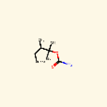 CCCCCCCCC(C)C(C)(OC(N)=O)C(C)(C)C